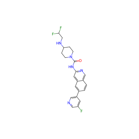 O=C(Nc1cc2cc(-c3cncc(F)c3)ccc2cn1)N1CCC(NCC(F)F)CC1